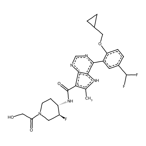 Cc1[nH]c2c(-c3cc(C(F)F)ccc3OCC3CC3)ncnc2c1C(=O)N[C@H]1CCN(C(=O)CO)C[C@@H]1F